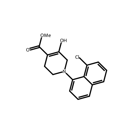 COC(=O)C1=C(O)CN(c2cccc3cccc(Cl)c23)CC1